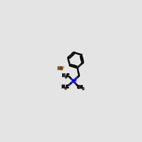 C[N+](C)(C)Cc1ccccc1.[SH-]